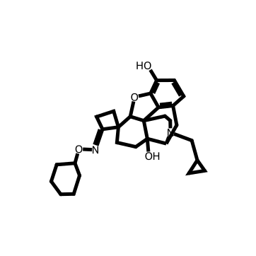 Oc1ccc2c3c1OC1C4(CCC4=NOC4CCCCC4)CCC4(O)C(C2)N(CC2CC2)CCC314